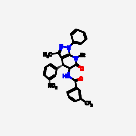 CCN1C(=O)[C@@H](NC(=O)c2cccc(C(F)(F)F)c2)[C@H](c2cccc([N+](=O)[O-])c2)c2c(C)nn(-c3ccccc3)c21